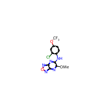 COc1nc2nonc2nc1Nc1ccc(OC(F)(F)F)cc1Cl